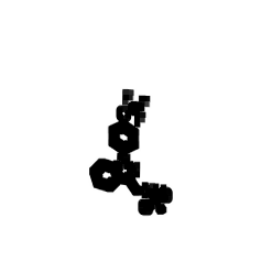 CS(=O)(=O)NCc1nn(-c2ccc(OC(F)(F)F)cc2)c2ccccc12